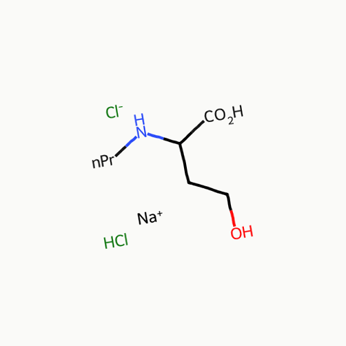 CCCNC(CCO)C(=O)O.Cl.[Cl-].[Na+]